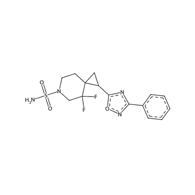 NS(=O)(=O)N1CCC2(CC2c2nc(-c3ccccc3)no2)C(F)(F)C1